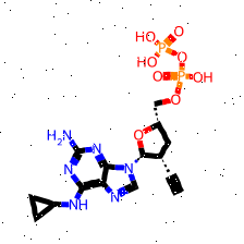 C#C[C@H]1C[C@@H](COP(=O)(O)OP(=O)(O)O)O[C@H]1n1cnc2c(NC3CC3)nc(N)nc21